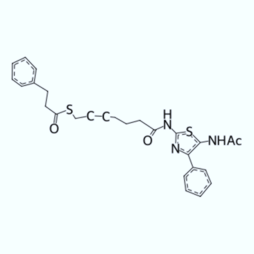 CC(=O)Nc1sc(NC(=O)CCCCCCSC(=O)CCc2ccccc2)nc1-c1ccccc1